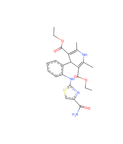 CCOC(=O)C1=C(C)NC(C)=C(C(=O)OCC)C1c1ccccc1Nc1nc(C(N)=O)cs1